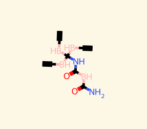 C#CBC(BC#C)(BC#C)NC(=O)BC(N)=O